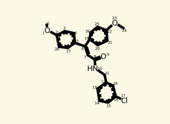 COc1ccc(C(=CC(=O)NCc2cccc(Cl)c2)c2ccc(OC)cc2)cc1